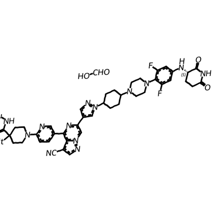 CCC1(C(=O)NC(C)(C)C)CCN(c2ccc(-c3nc(-c4cnn(C5CCC(N6CCN(c7c(F)cc(N[C@H]8CCC(=O)NC8=O)cc7F)CC6)CC5)c4)cn4ncc(C#N)c34)cn2)CC1.O=CO